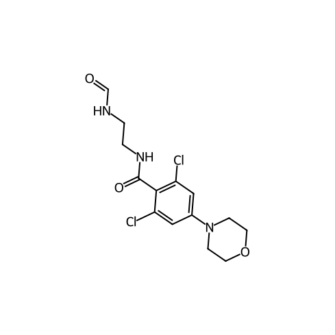 O=CNCCNC(=O)c1c(Cl)cc(N2CCOCC2)cc1Cl